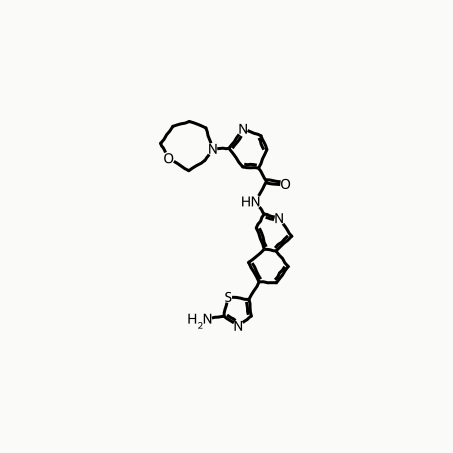 Nc1ncc(-c2ccc3cnc(NC(=O)c4ccnc(N5CCCCOCC5)c4)cc3c2)s1